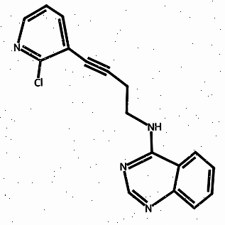 Clc1ncccc1C#CCCNc1ncnc2ccccc12